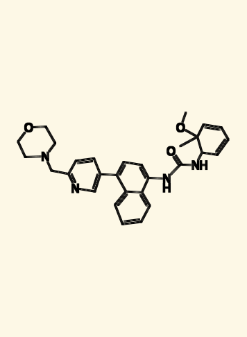 COC1(C)C=CC=CC1NC(=O)Nc1ccc(-c2ccc(CN3CCOCC3)nc2)c2ccccc12